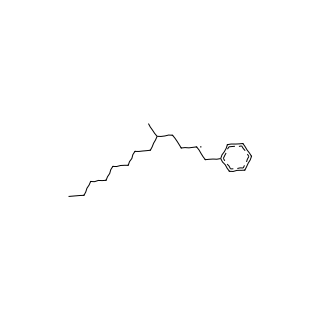 CCCCCCCCC(C)CC[CH]Cc1ccccc1